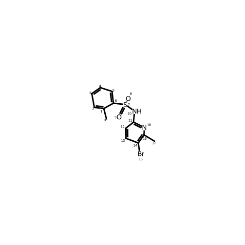 Cc1ccccc1S(=O)(=O)Nc1ccc(Br)c(C)n1